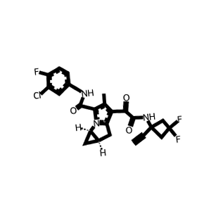 C#CC1(NC(=O)C(=O)c2c(C)c(C(=O)Nc3ccc(F)c(Cl)c3)n3c2C[C@H]2C[C@H]23)CC(F)(F)C1